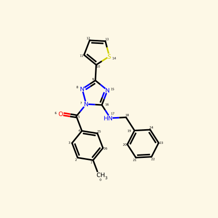 Cc1ccc(C(=O)n2nc(-c3cccs3)nc2NCc2ccccc2)cc1